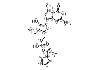 C[n+]1cn([C@@H]2O[C@H](COP(=O)(O)OP(=O)(O)n3ccnc3)[C@@H](O)[C@H]2O)c2nc(N)[nH]c(=O)c21.[Na+]